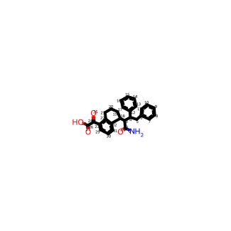 NC(=O)C(C(Cc1ccccc1)c1ccccc1)C1CCCc2c(C(=O)C(=O)O)cccc21